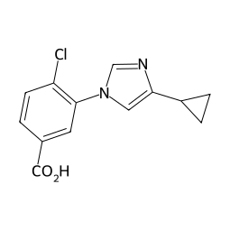 O=C(O)c1ccc(Cl)c(-n2cnc(C3CC3)c2)c1